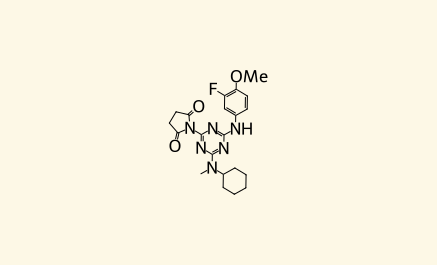 COc1ccc(Nc2nc(N3C(=O)CCC3=O)nc(N(C)C3CCCCC3)n2)cc1F